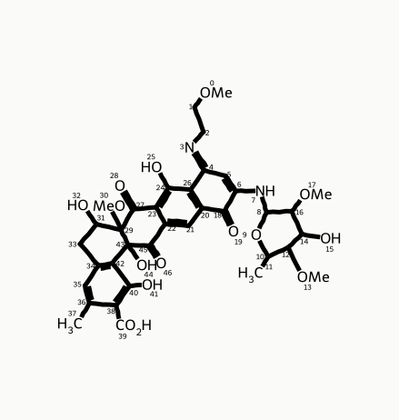 COCCN=C1C=C(NC2OC(C)C(OC)C(O)C2OC)C(=O)c2cc3c(c(O)c21)C(=O)C1(OC)C(O)Cc2cc(C)c(C(=O)O)c(O)c2C1(O)C3=O